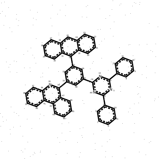 c1ccc(-c2nc(-c3ccccc3)nc(-c3cc(-c4c5ccccc5cc5ccccc45)cc(-c4nc5ccccc5c5ccccc45)c3)n2)cc1